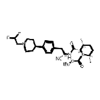 C[C@@H]1CC[C@H](C)N(C(=O)OC(C)(C)C)[C@@H]1C(=O)N[C@H](C#N)Cc1ccc(C2CCN(CC(F)F)CC2)cc1